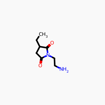 CCC1CC(=O)N(CCN)C1=O